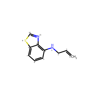 C=CCNc1cccc2scnc12